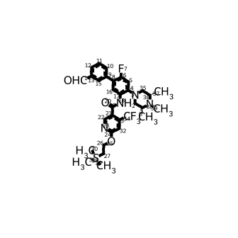 C[C@@H]1CN(c2cc(F)c(-c3cccc(C=O)c3)cc2NC(=O)c2cnc(OCCS(C)(C)C)cc2C(F)(F)F)C[C@H](C)N1C